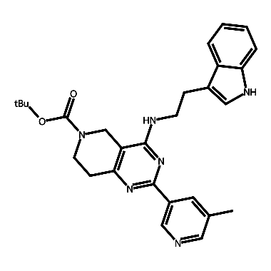 Cc1cncc(-c2nc3c(c(NCCc4c[nH]c5ccccc45)n2)CN(C(=O)OC(C)(C)C)CC3)c1